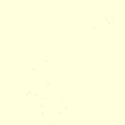 C=C(CCN1C(=O)C=CC1=O)NCCOCCOCCOCCCCCC(=O)NCCCN(CCCC12CC3(C)CC(Cn4ncc(-c5ccc(N6CCc7cccc(C(=O)Nc8nc9ccccc9s8)c7C6)nc5C(=C)O)c4C)(CC1(C)C3)C2)CCS(=O)(=O)C#N